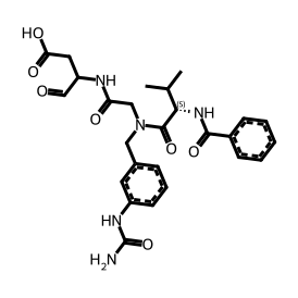 CC(C)[C@H](NC(=O)c1ccccc1)C(=O)N(CC(=O)NC(C=O)CC(=O)O)Cc1cccc(NC(N)=O)c1